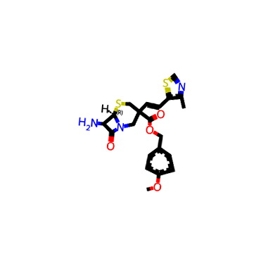 COc1ccc(COC(=O)C2(C=Cc3scnc3C)CS[C@@H]3C(N)C(=O)N3C2)cc1